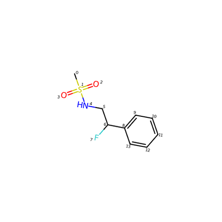 CS(=O)(=O)NCC(F)c1ccccc1